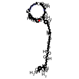 COC1C[C@@H]2CC[C@@H](C)[C@@](O)(O2)C(=O)C(=O)N2CCCC[C@H]2C(=O)OC([C@H](N)CC2CCC(OCCCCc3cn(CCOCCOCCOCCNC(=O)CCC(=O)NCCCCn4nc(-c5ccc6oc(N)nc6c5)c5c(N)ncnc54)nn3)[C@H](OC)C2)CC(=O)C(C)/C=C(\C)[C@@H](O)[C@@H](O)C(=O)C(C)CC(C)/C=C/C=C/C=C/1C